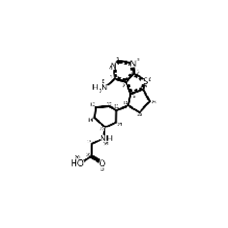 Nc1ncnc2sc3c(c12)C(C1CCC[C@H](NCC(=O)O)C1)CC3